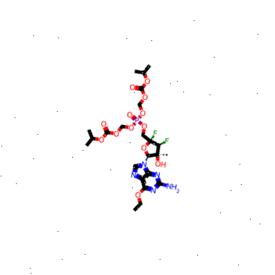 CCOc1nc(N)nc2c1ncn2[C@@H]1O[C@](F)(COP(=O)(OCOC(=O)OC(C)C)OCOC(=O)OC(C)C)[C@@H](F)[C@@]1(C)O